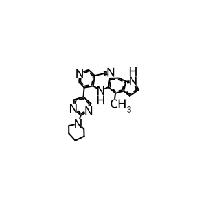 Cc1c(Nc2c(C#N)cncc2-c2cnc(N3CCCCC3)nc2)ccc2[nH]ccc12